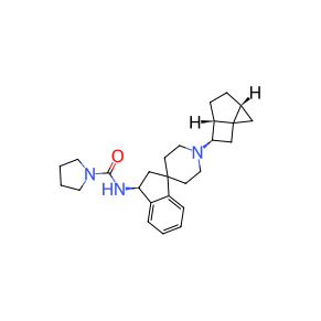 O=C(N[C@H]1CC2(CCN([C@@H]3CC45C[C@H]4CC[C@@H]35)CC2)c2ccccc21)N1CCCC1